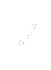 COc1ccc(CNC(=O)C(=O)NCCc2ccccn2)c(C)c1